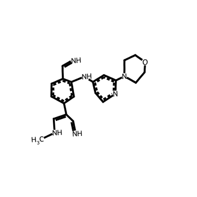 CN/C=C(\C=N)c1ccc(C=N)c(Nc2ccnc(N3CCOCC3)c2)c1